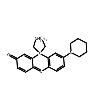 CC[Si]1(CC)C2=CC(=O)C=CC2=Nc2ccc(N3CCCCC3)cc21